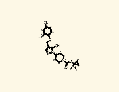 CC1(OC(=O)N2CCC(n3ncc(COc4ccc(C#N)cc4F)c3C#N)CC2)CC1